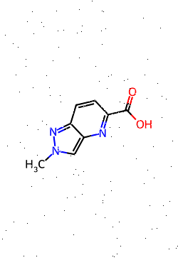 Cn1cc2nc(C(=O)O)ccc2n1